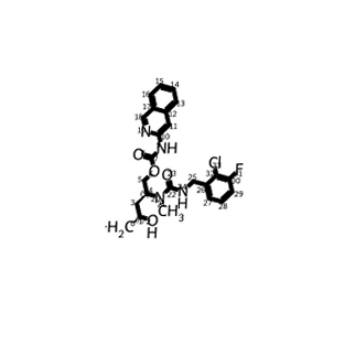 [CH2][C@@H](O)C[C@@H](COC(=O)Nc1cc2ccccc2cn1)N(C)C(=O)NCc1cccc(F)c1Cl